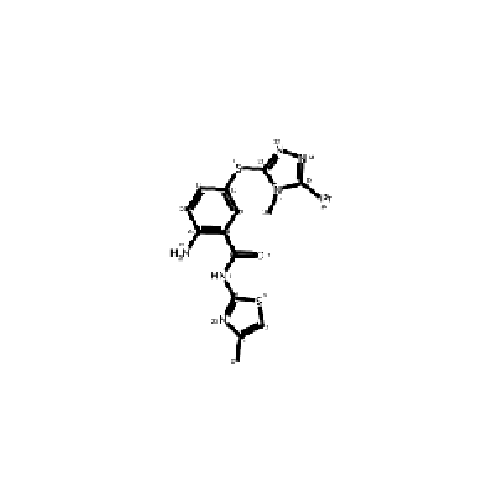 Cc1csc(NC(=O)c2cc(Sc3nnc(C(C)C)n3C)ccc2N)n1